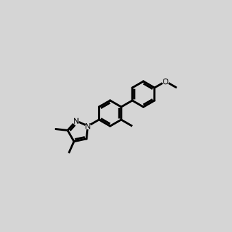 COc1ccc(-c2ccc(-n3cc(C)c(C)n3)cc2C)cc1